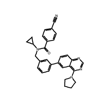 N#Cc1ccc(C(=O)N(Cc2cccc(-c3ccc4ncnc(N5CCCC5)c4c3)c2)C2CC2)cc1